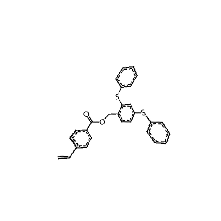 C=Cc1ccc(C(=O)OCc2ccc(Sc3ccccc3)cc2Sc2ccccc2)cc1